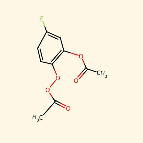 CC(=O)OOc1ccc(F)cc1OC(C)=O